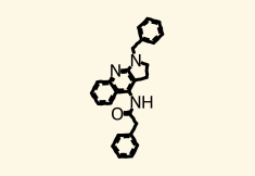 O=C(Cc1ccccc1)Nc1c2c(nc3ccccc13)N(Cc1ccccc1)CC2